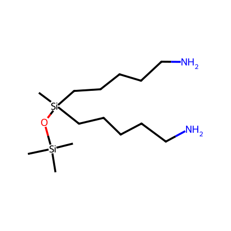 C[Si](C)(C)O[Si](C)(CCCCCN)CCCCCN